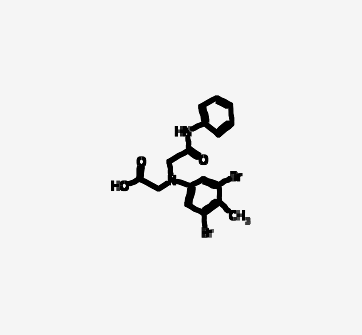 Cc1c(Br)cc(N(CC(=O)O)CC(=O)Nc2ccccc2)cc1Br